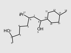 CC(O)CCCC(CC(O)C1CCC(C)CC1)C(C)C